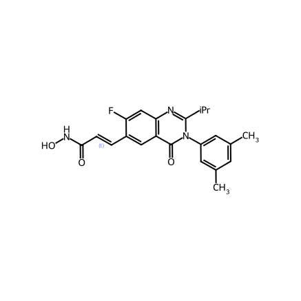 Cc1cc(C)cc(-n2c(C(C)C)nc3cc(F)c(/C=C/C(=O)NO)cc3c2=O)c1